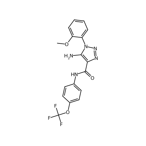 COc1ccccc1-n1nnc(C(=O)Nc2ccc(OC(F)(F)F)cc2)c1N